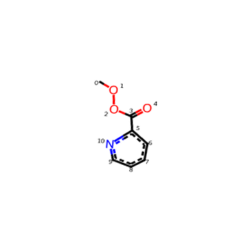 COOC(=O)c1ccccn1